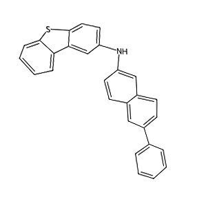 c1ccc(-c2ccc3cc(Nc4ccc5sc6ccccc6c5c4)ccc3c2)cc1